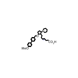 COc1ccc(-c2ccc(COC3CCC(N4CCCCC4)C3CC/C=C/CCC(=O)O)cc2)cc1